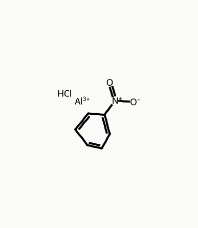 Cl.O=[N+]([O-])c1ccccc1.[Al+3]